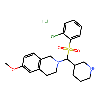 COc1ccc2c(c1)CCN(C(C1CCCNC1)S(=O)(=O)c1ccccc1Cl)C2.Cl